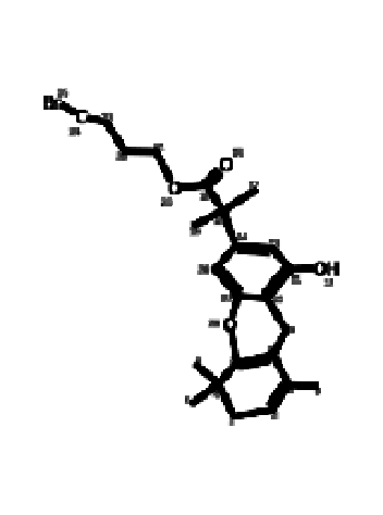 CC1=CCC(C)(C)C2=C1Cc1c(O)cc(C(C)(C)C(=O)OCCCCBr)cc1O2